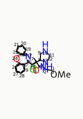 COCCNC(=O)C(C)(C1CNCCN1)C(Cl)C1=Nc2ccccc2Oc2ccccc21